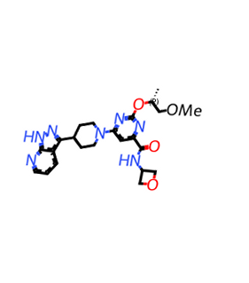 COC[C@@H](C)Oc1nc(C(=O)NC2COC2)cc(N2CCC(c3n[nH]c4ncccc34)CC2)n1